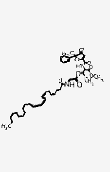 CC/C=C\C/C=C\C/C=C\C/C=C\C/C=C\C/C=C\CCC(=O)NCC(=O)OC(C)C(NC(=O)C1=CC(=O)C(C)(c2ccccc2)O1)C(=O)OC